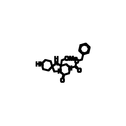 COCC12CN(C(=O)OCc3ccccc3)CC(=O)N1CC1(CCNCC1)N2